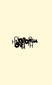 COc1cc(C(=O)NOCC(C)C)c(F)cc1Nc1ncc(Cl)c(Nc2ccccc2OP(C)(C)=O)n1